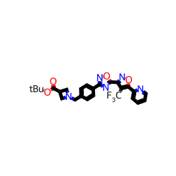 CC(C)(C)OC(=O)C1CN(Cc2ccc(-c3noc(-c4noc(-c5ccccn5)c4C(F)(F)F)n3)cc2)C1